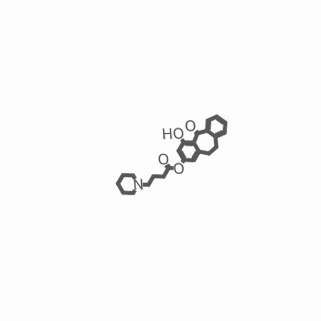 O=C(CCCN1CCCCC1)Oc1cc(O)c2c(c1)CCc1ccccc1C2=O